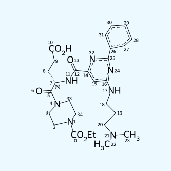 CCOC(=O)N1CCN(C(=O)[C@H](CCC(=O)O)NC(=O)c2cc(NCCCN(C)C)nc(-c3ccccc3)n2)CC1